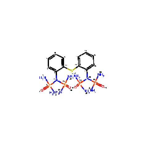 NP(N)(=O)N(c1ccccc1Sc1ccccc1N(P(N)(N)=O)P(N)(N)=O)P(N)(N)=O